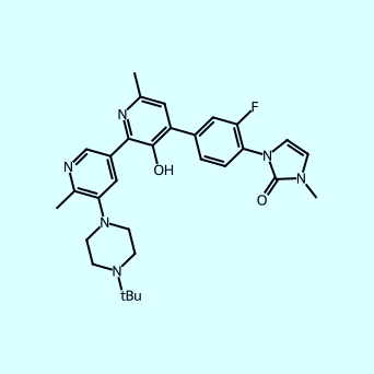 Cc1cc(-c2ccc(-n3ccn(C)c3=O)c(F)c2)c(O)c(-c2cnc(C)c(N3CCN(C(C)(C)C)CC3)c2)n1